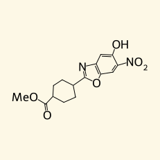 COC(=O)C1CCC(c2nc3cc(O)c([N+](=O)[O-])cc3o2)CC1